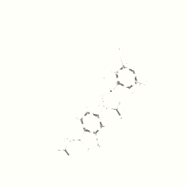 CCC(=O)NC1CCc2cc(N3CC(c4cc(Cl)cc(Cl)c4)(C(F)(F)F)OC3=O)ccc21